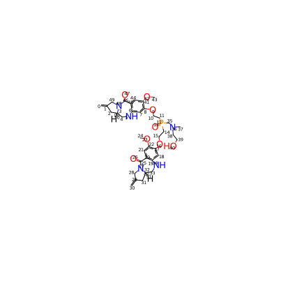 C=C1C[C@H]2CNc3cc(OCCP(=O)(CCOc4cc5c(cc4OC)C(=O)N4CC(=C)C[C@H]4CN5)CN(C)CCO)c(OC)cc3C(=O)N2C1